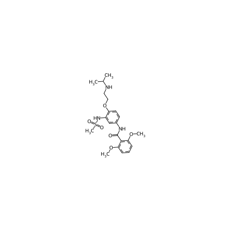 COc1cccc(OC)c1C(=O)Nc1ccc(OCCNC(C)C)c(NS(C)(=O)=O)c1